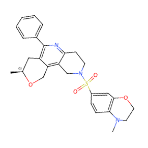 C[C@H]1Cc2c(-c3ccccc3)nc3c(c2CO1)CN(S(=O)(=O)c1ccc2c(c1)OCCN2C)CC3